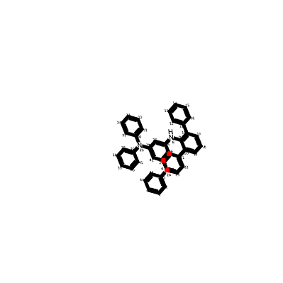 c1ccc(Nc2cc(Nc3c(-c4ccccc4)cccc3-c3ccccc3)cc(N(c3ccccc3)c3ccccc3)c2)cc1